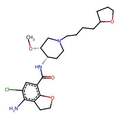 CO[C@@H]1CN(CCCCC2CCCO2)CC[C@@H]1NC(=O)c1cc(Cl)c(N)c2c1OCC2